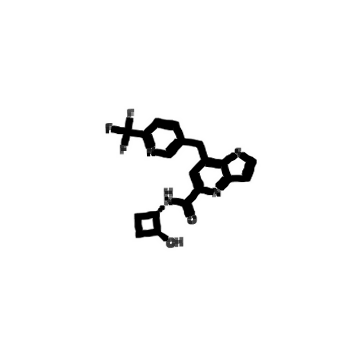 O=C(N[C@H]1CC[C@@H]1O)c1cc(Cc2ccc(C(F)(F)F)nc2)c2sccc2n1